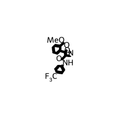 COC(=O)c1ccccc1-c1oncc1C(=O)Nc1ccc(C(F)(F)F)cc1